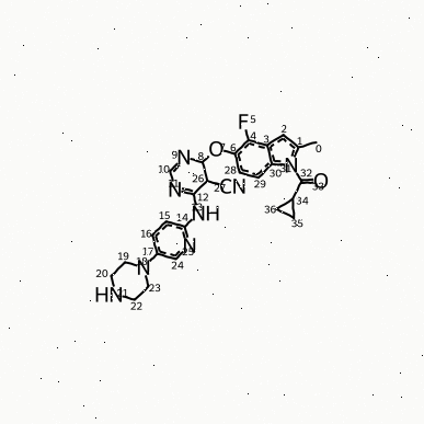 Cc1cc2c(F)c(OC3N=CN=C(Nc4ccc(N5CCNCC5)cn4)C3C#N)ccc2n1C(=O)C1CC1